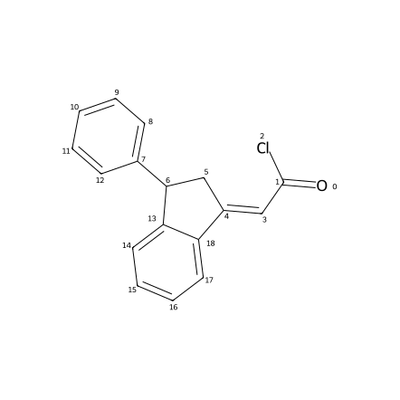 O=C(Cl)/C=C1\CC(c2ccccc2)c2ccccc21